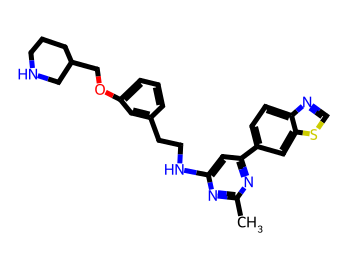 Cc1nc(NCCc2cccc(OCC3CCCNC3)c2)cc(-c2ccc3ncsc3c2)n1